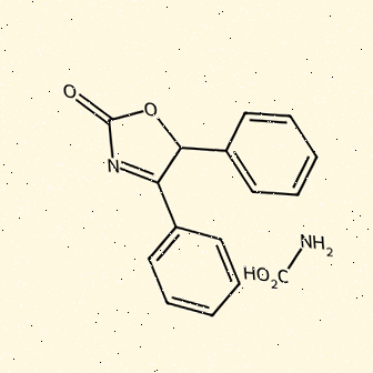 NC(=O)O.O=C1N=C(c2ccccc2)C(c2ccccc2)O1